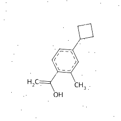 C=C(O)c1ccc(C2CCC2)cc1C